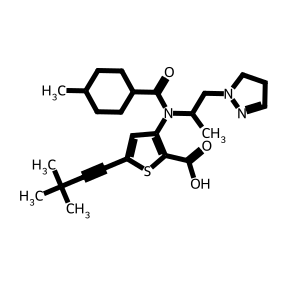 CC1CCC(C(=O)N(c2cc(C#CC(C)(C)C)sc2C(=O)O)C(C)CN2CCC=N2)CC1